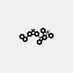 CC1(C)c2ccc(-c3cccc4ccccc34)cc2-c2cc(-n3c4ccccc4c4ccc5c(c43)-c3ccccc3P5(=O)c3ccccc3)ccc21